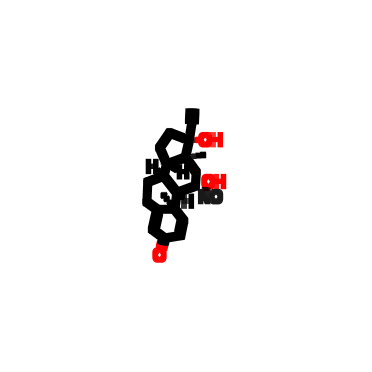 C#C[C@]1(O)CC[C@H]2[C@@H]3CCC4=CC(=O)C=C[C@]4(C)[C@H]3CC[C@@]21C.O=NO